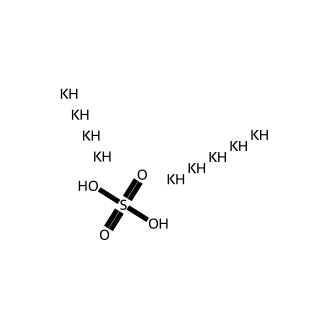 O=S(=O)(O)O.[KH].[KH].[KH].[KH].[KH].[KH].[KH].[KH].[KH]